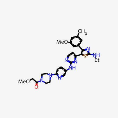 CCNc1nc(-c2cc(C)cc(OC)c2)c(-c2ccnc(Nc3ccc(N4CCN(C(=O)COC)CC4)nc3)n2)s1